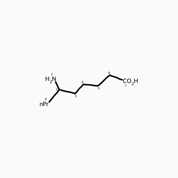 CCCC(N)CCCCC(=O)O